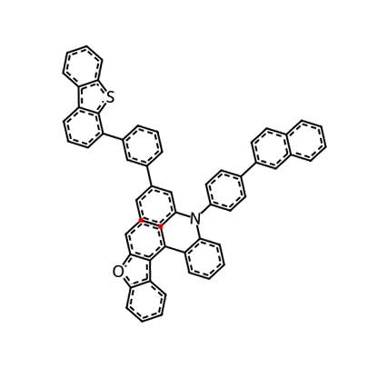 c1cc(-c2cccc(N(c3ccc(-c4ccc5ccccc5c4)cc3)c3ccccc3-c3cccc4oc5ccccc5c34)c2)cc(-c2cccc3c2sc2ccccc23)c1